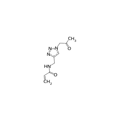 C=CC(=O)NCc1cn(CC(C)=O)nn1